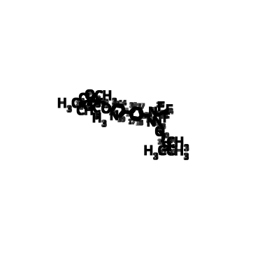 CC(C)(C)OC(=O)C(C)(C)COc1ccc(-c2ccc(-c3nc(C(F)(F)F)n(COCC[Si](C)(C)C)n3)cc2)cn1